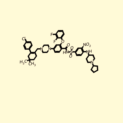 CC1(C)CCC(CN2CCN(c3ccc(C(=O)NS(=O)(=O)c4ccc(NC5CCN(C6CCCC6)CC5)c([N+](=O)[O-])c4)c(Oc4cccc(F)c4F)c3)CC2)=C(c2ccc(Cl)cc2)C1